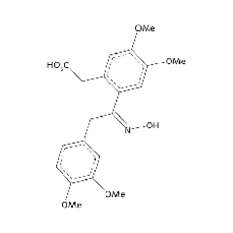 COc1ccc(CC(=NO)c2cc(OC)c(OC)cc2CC(=O)O)cc1OC